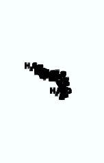 Cn1nc2ccc(-c3ccc(C(=O)N4CCN(C(=O)C5(N)CC5)CC4)cc3)cc2n1